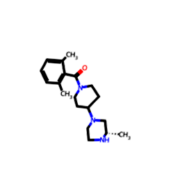 Cc1cccc(C)c1C(=O)N1CCC(N2CCN[C@@H](C)C2)CC1